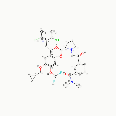 C=C(Cl)/C(C[C@H](OC(=O)[C@@H]1CCCN1CC(=O)c1cccc(C(=O)N(C)C)c1)c1ccc(OC(F)F)c(OCC2CC2)c1)=C(\C)Cl